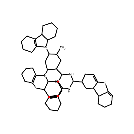 CC1CC(C2NC(C3=CCCCC3)NC(C3CC=C4SC5=CCCCC5C4C3)N2)C(N2C3=C(CCCC3)SC3C=CCCC32)CC1N1C2=C(CCCC2)C2CCCCC21